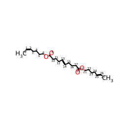 C/C=C\CCCCOC(=O)CCC/C=C/CCCC(=O)OCCCC/C=C/C